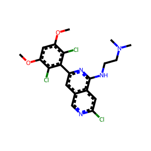 COc1cc(OC)c(Cl)c(-c2cc3cnc(Cl)cc3c(NCCN(C)C)n2)c1Cl